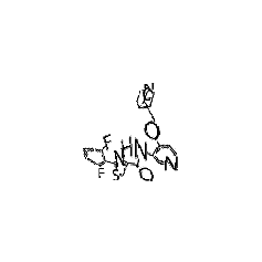 O=C(Nc1cnccc1OCC1CN2CCC1CC2)c1csc(-c2c(F)cccc2F)n1